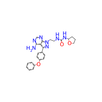 Nc1ncnc2c1c(-c1ccc(Oc3ccccc3)cc1)nn2CCNC(=O)NC1CCCO1